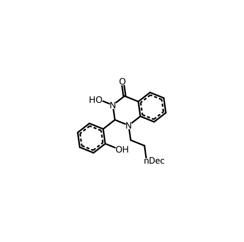 CCCCCCCCCCCCN1c2ccccc2C(=O)N(O)C1c1ccccc1O